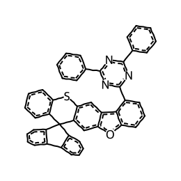 c1ccc(-c2nc(-c3ccccc3)nc(-c3cccc4oc5cc6c(cc5c34)Sc3ccccc3C63c4ccccc4-c4ccccc43)n2)cc1